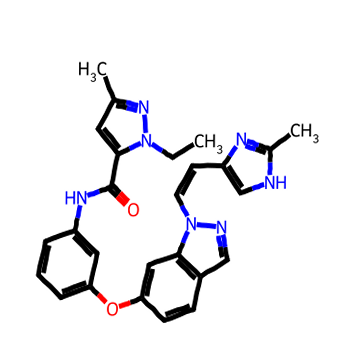 CCn1nc(C)cc1C(=O)Nc1cccc(Oc2ccc3cnn(C=Cc4c[nH]c(C)n4)c3c2)c1